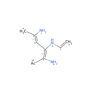 C=CNC(/C=C(/C)N)=C(\N)C(C)=O